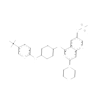 CS(=O)(=O)Nc1cnc2cc(N3CCOCC3)nc(OC3CCC(Nc4ccc(C(F)(F)F)cn4)CC3)c2c1